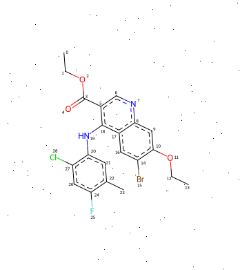 CCOC(=O)c1cnc2cc(OCC)c(Br)cc2c1Nc1cc(C)c(F)cc1Cl